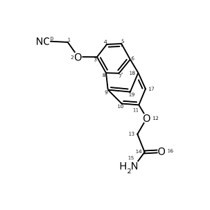 N#CCOc1c[c]c2[c]c1c1cc(OCC(N)=O)cc2c1